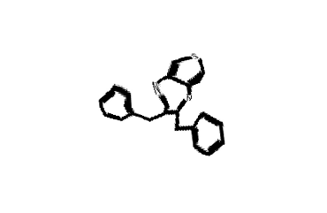 c1ccc(Cc2nc3cscc3nc2Cc2ccccc2)cc1